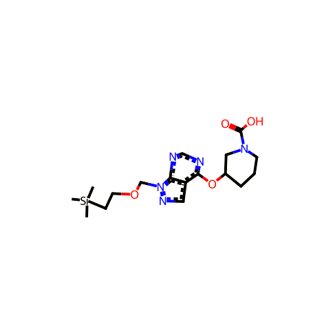 C[Si](C)(C)CCOCn1ncc2c(OC3CCCN(C(=O)O)C3)ncnc21